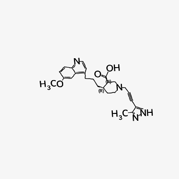 COc1ccc2nccc(CCC[C@@H]3CCN(CC#Cc4c[nH]nc4C)C[C@@H]3C(=O)O)c2c1